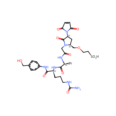 CC(C)[C@H](NC(=O)CN1C(=O)[C@@H](N2C(=O)C=CC2=O)C[C@H]1COCCS(=O)(=O)O)C(=O)N[C@@H](CCCNC(N)=O)C(=O)Nc1ccc(CO)cc1